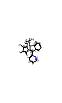 CC1=C(C)C(C)[C]([Zr]([CH3])([CH3])(=[SiH2])[CH]2C=C(c3ccccn3)c3ccccc32)=C1C